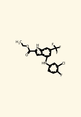 CCOC(=O)c1cc2c(Nc3ccc(F)c(Cl)c3)cc(C(F)(F)F)cc2[nH]1